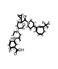 CCN(CC(C)Nc1ccc(F)c(C(=O)O)c1)[C@@H]1CCC(C(=O)N2CCC(C3=CC=CCC(C(F)(F)F)=C3)CC2)(C2CC2)OC1